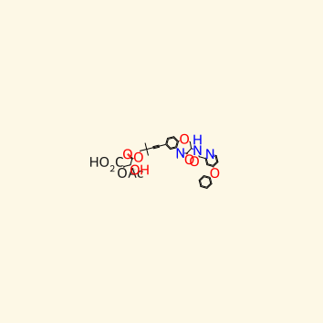 CC(=O)O[C@@H](C(=O)O)[C@@H](O)C(=O)OCC(C)(C)C#Cc1ccc2c(c1)N(C)C(=O)[C@H](NC(=O)c1cc(Oc3ccccc3)ccn1)CO2